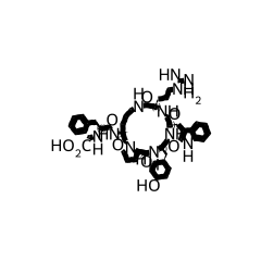 N=C(N)NCCC[C@@H]1NC(=O)[C@H](Cc2c[nH]c3ccccc23)NC(=O)[C@@H](C[C@H]2CC[C@@H](O)CC2)NC(=O)[C@@H]2CCCN2C(=O)[C@@H](NC(=O)[C@H](Cc2ccccc2)NCC(=O)O)CCCNC1=O